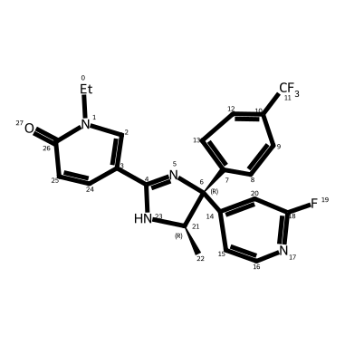 CCn1cc(C2=N[C@](c3ccc(C(F)(F)F)cc3)(c3ccnc(F)c3)[C@@H](C)N2)ccc1=O